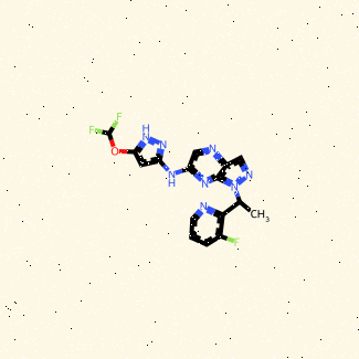 CC(c1ncccc1F)n1ncc2ncc(Nc3cc(OC(F)F)[nH]n3)nc21